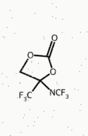 O=C1OCC(NC(F)(F)F)(C(F)(F)F)O1